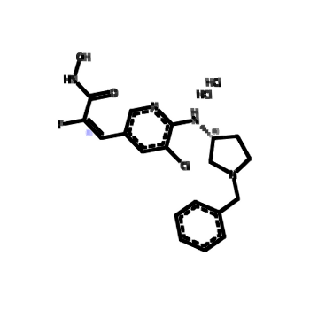 Cl.Cl.O=C(NO)/C(F)=C\c1cnc(N[C@@H]2CCN(Cc3ccccc3)C2)c(Cl)c1